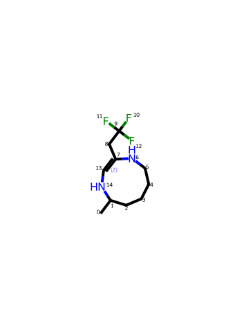 CC1CCCCN/C(CC(F)(F)F)=C\N1